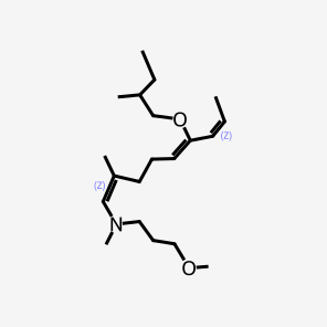 C/C=C\C(=CCC/C(C)=C\N(C)CCCOC)OCC(C)CC